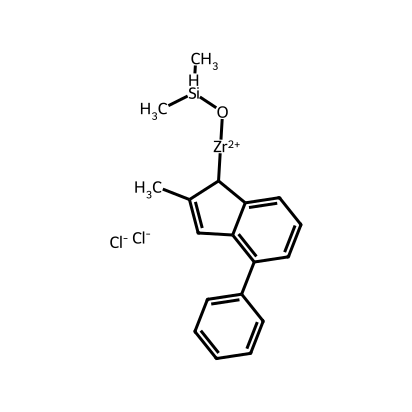 CC1=Cc2c(-c3ccccc3)cccc2[CH]1[Zr+2][O][SiH](C)C.[Cl-].[Cl-]